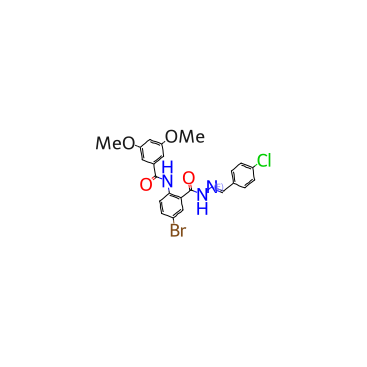 COc1cc(OC)cc(C(=O)Nc2ccc(Br)cc2C(=O)N/N=C/c2ccc(Cl)cc2)c1